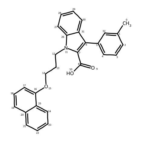 Cc1cccc(-c2c(C(=O)O)n(CCCOc3cccc4ccccc34)c3ccccc23)c1